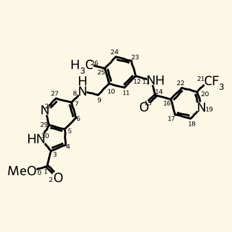 COC(=O)c1cc2cc(NCc3cc(NC(=O)c4ccnc(C(F)(F)F)c4)ccc3C)cnc2[nH]1